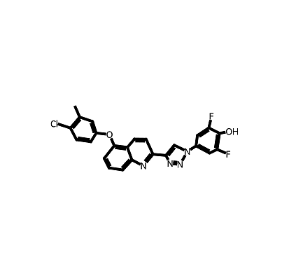 Cc1cc(Oc2cccc3nc(-c4cn(-c5cc(F)c(O)c(F)c5)nn4)ccc23)ccc1Cl